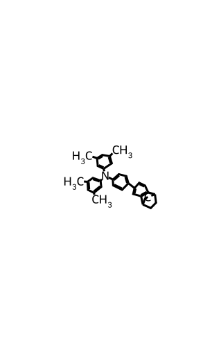 Cc1cc(C)cc(N(c2ccc(-c3ccc4c(c3)C3CCC4CC3)cc2)c2cc(C)cc(C)c2)c1